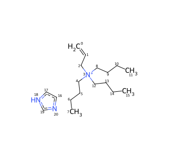 C=CC[N+](CCCC)(CCCC)CCCC.c1c[nH]cn1